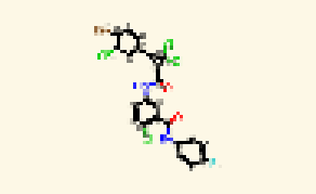 O=C(Nc1ccc(F)cc1)c1cc(NC(=O)C2C(c3ccc(Br)c(Cl)c3)C2(Cl)Cl)ccc1Cl